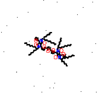 CCCCCCCCC(CCCCCC)CN1C(=O)C2=C(c3ccc(-c4ccc(-c5ccc(C6=C7C(=O)N(CC(CCCCCC)CCCCCCCC)C(c8ccco8)=C7C(=O)N6CC(CCCCCC)CCCCCCCC)o5)o4)o3)N(CC(CCCCCC)CCCCCCCC)C(=O)C2=C1c1ccco1